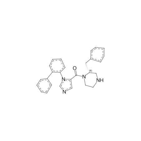 O=C(c1cncn1-c1ccccc1-c1ccccc1)N1CCNC[C@H]1Cc1ccccc1